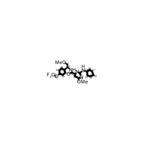 COCC(NC(=O)c1cc(OC)nc(Nc2ccccc2)n1)c1ccc(OC(F)(F)F)cc1